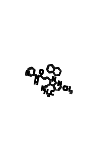 Cc1cc(C)c2c(C#N)c(/C=C/C(=O)Nc3cccnc3)n([C@H]3CCCc4ccccc43)c2n1